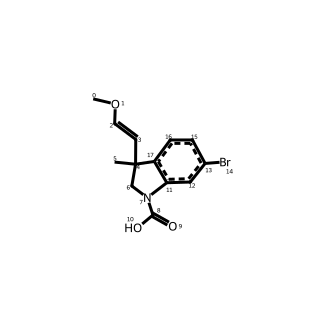 COC=CC1(C)CN(C(=O)O)c2cc(Br)ccc21